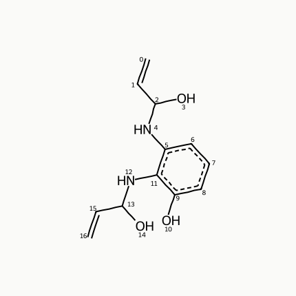 C=CC(O)Nc1cccc(O)c1NC(O)C=C